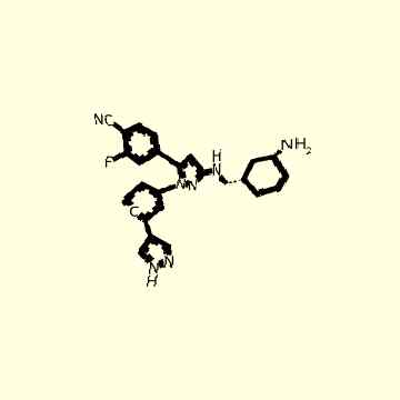 N#Cc1ccc(-c2cc(NC[C@H]3CCC[C@H](N)C3)nn2-c2cccc(-c3cn[nH]c3)c2)cc1F